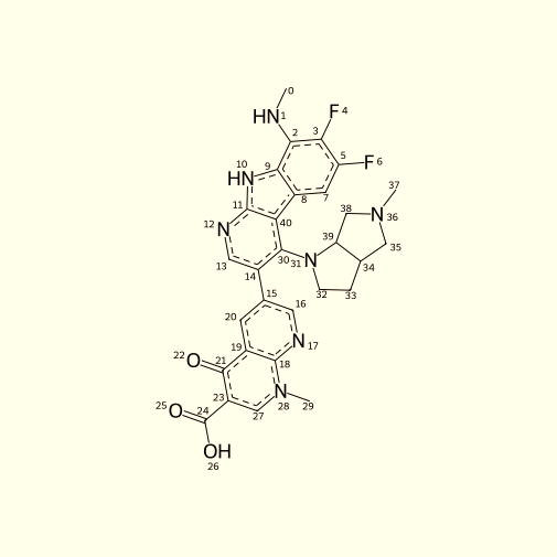 CNc1c(F)c(F)cc2c1[nH]c1ncc(-c3cnc4c(c3)c(=O)c(C(=O)O)cn4C)c(N3CCC4CN(C)CC43)c12